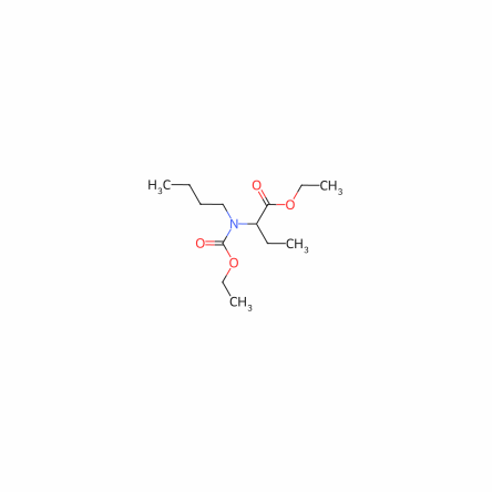 CCCCN(C(=O)OCC)C(CC)C(=O)OCC